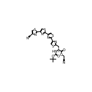 CC(C)(C)OC(=O)N[C@@H](Cc1nc(-c2nc(-c3nc(-c4nc(C#N)cs4)cs3)cs2)cs1)C(=O)OCC#N